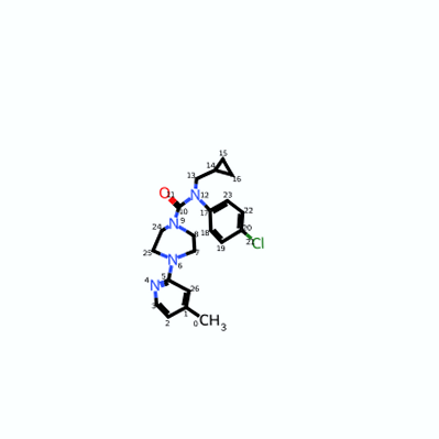 Cc1ccnc(N2CCN(C(=O)N(CC3CC3)c3ccc(Cl)cc3)CC2)c1